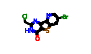 O=c1[nH]c(CCl)nc2c1sc1cc(Br)cnc12